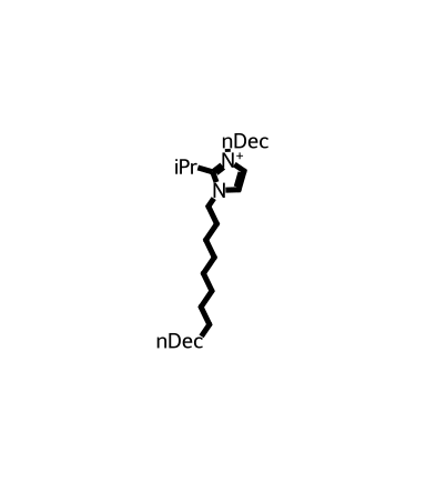 CCCCCCCCCCCCCCCCCCn1cc[n+](CCCCCCCCCC)c1C(C)C